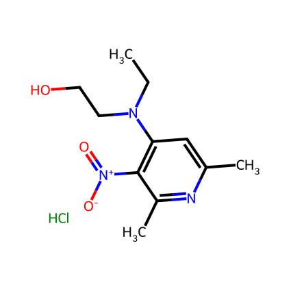 CCN(CCO)c1cc(C)nc(C)c1[N+](=O)[O-].Cl